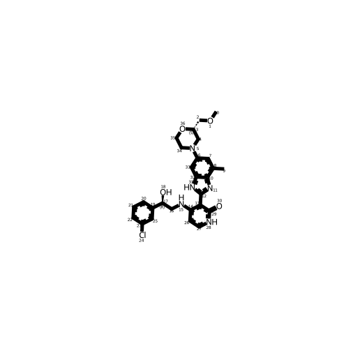 COC[C@@H]1CN(c2cc(C)c3nc(-c4c(NC[C@H](O)c5cccc(Cl)c5)cc[nH]c4=O)[nH]c3c2)CCO1